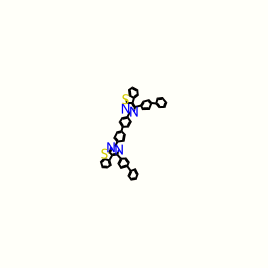 c1ccc(-c2ccc(-c3nc(-c4ccc(-c5ccc(-c6nc(-c7ccc(-c8ccccc8)cc7)c7c(n6)sc6ccccc67)cc5)cc4)nc4sc5ccccc5c34)cc2)cc1